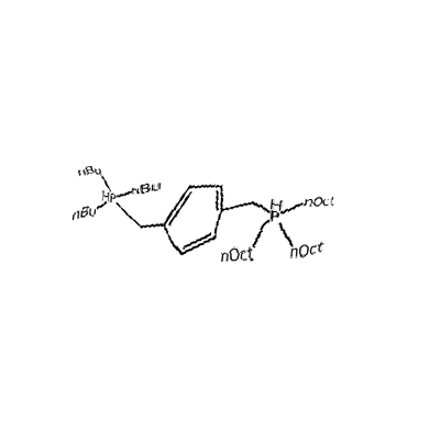 CCCCCCCC[PH](CCCCCCCC)(CCCCCCCC)Cc1ccc(C[PH](CCCC)(CCCC)CCCC)cc1